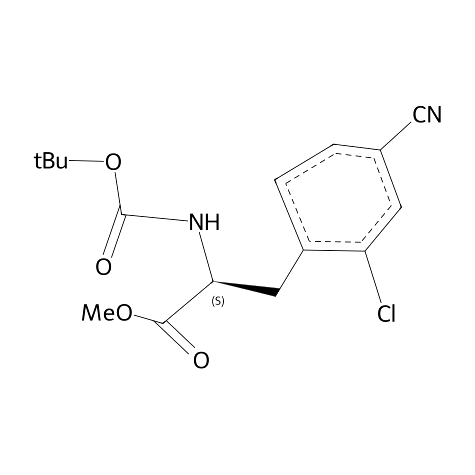 COC(=O)[C@H](Cc1ccc(C#N)cc1Cl)NC(=O)OC(C)(C)C